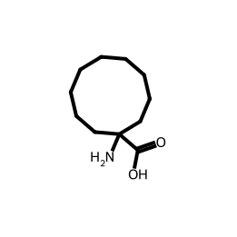 NC1(C(=O)O)CCCCCCCCC1